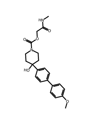 CNC(=O)COC(=O)N1CCC(O)(c2ccc(-c3ccc(OC)cc3)cc2)CC1